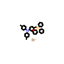 Cc1ccc(N(c2ccc(C)cc2)c2ccc(C[P+](c3ccccc3)(c3ccccc3)c3ccccc3)cc2)cc1.[Br-]